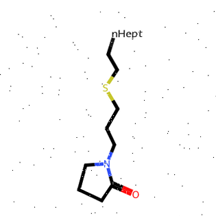 CCCCCCCCCSCCCN1CCCC1=O